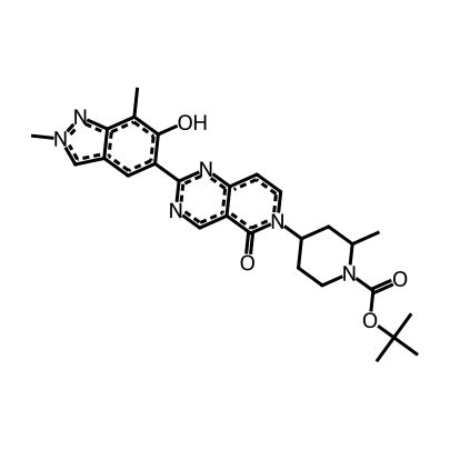 Cc1c(O)c(-c2ncc3c(=O)n(C4CCN(C(=O)OC(C)(C)C)C(C)C4)ccc3n2)cc2cn(C)nc12